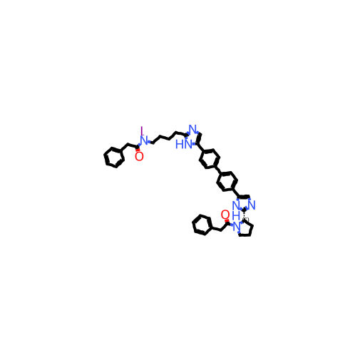 O=C(Cc1ccccc1)N(I)CCCCc1ncc(-c2ccc(-c3ccc(-c4cnc([C@@H]5CCCN5C(=O)Cc5ccccc5)[nH]4)cc3)cc2)[nH]1